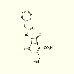 CC(C)(C)CC1=C(C(=O)O)N2C(=O)C(NC(=O)Cc3ccccc3)C2[S+]([O-])C1